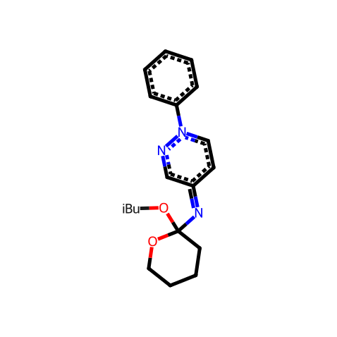 CCC(C)OC1(N=c2ccn(-c3ccccc3)nc2)CCCCO1